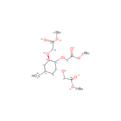 CC(C)(C)OC(=O)COC1[C@H](OCC(=O)OC(C)(C)C)CC(C(=O)O)C[C@H]1OCC(=O)OC(C)(C)C